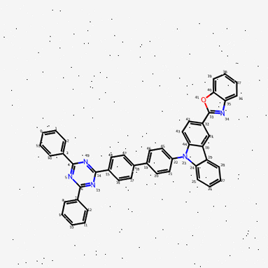 c1ccc(-c2nc(-c3ccccc3)nc(-c3ccc(-c4ccc(-n5c6ccccc6c6cc(-c7nc8ccccc8o7)ccc65)cc4)cc3)n2)cc1